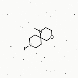 CN1CCOCC12CCN(I)CC2